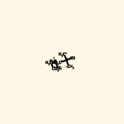 CC(=O)O.CC(N)=O.CCC(C)(C)C(=O)O